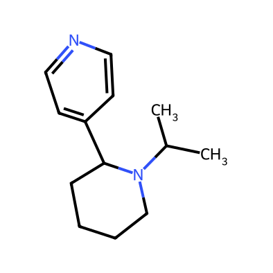 CC(C)N1CCCCC1c1ccncc1